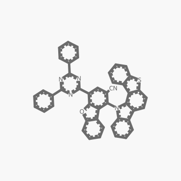 N#Cc1cc(-c2nc(-c3ccccc3)nc(-c3ccccc3)n2)c2oc3ccccc3c2c1-n1c2ccccc2c2ccc3sc4ccccc4c3c21